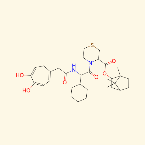 CC1(C)C2CCC1(C)C(OC(=O)C1CSCCN1C(=O)C(NC(=O)CC1=CC=C(O)C(O)=CC1)C1CCCCC1)C2